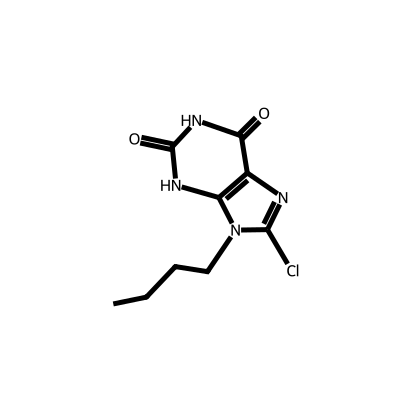 CCCCn1c(Cl)nc2c(=O)[nH]c(=O)[nH]c21